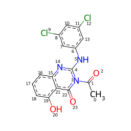 CC(=O)n1c(Nc2cc(Cl)cc(Cl)c2)nc2cccc(O)c2c1=O